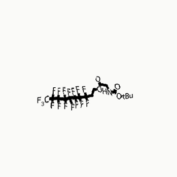 CC(C)(C)OC(=O)NCC(=O)OCCC(F)(F)C(F)(F)C(F)(F)C(F)(F)C(F)(F)C(F)(F)C(F)(F)C(F)(F)F